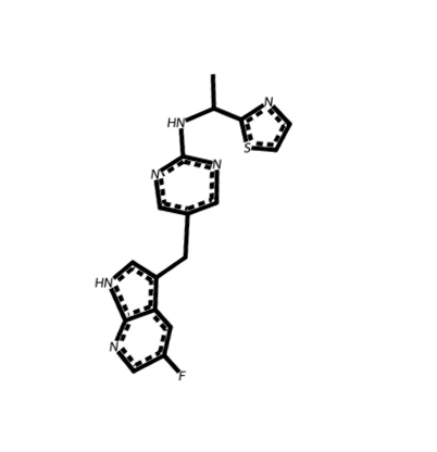 CC(Nc1ncc(Cc2c[nH]c3ncc(F)cc23)cn1)c1nccs1